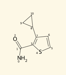 NC(=O)c1sccc1C1CC1